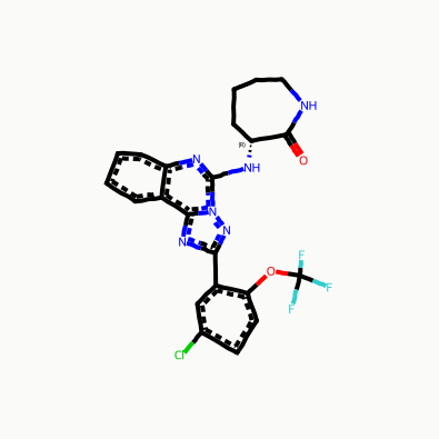 O=C1NCCCC[C@H]1Nc1nc2ccccc2c2nc(-c3cc(Cl)ccc3OC(F)(F)F)nn12